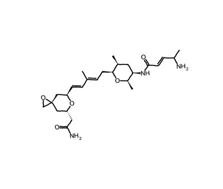 CC(/C=C/[C@@H]1C[C@]2(CO2)C[C@@H](CC(N)=O)O1)=C\C[C@@H]1O[C@H](C)[C@H](NC(=O)/C=C/C(C)N)C[C@@H]1C